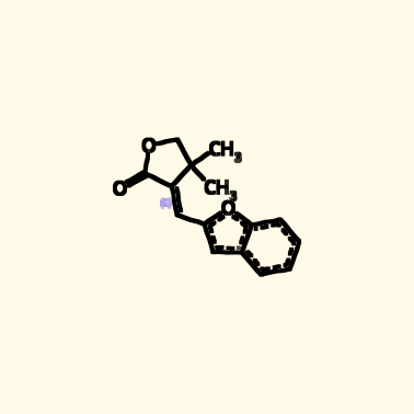 CC1(C)COC(=O)/C1=C/c1cc2ccccc2o1